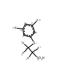 O=S(=O)(O)C(F)(F)C(F)(F)Sc1cc(F)cc(F)c1